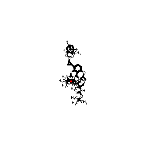 CC(C)(C)OC(=O)N[C@](C)(CN1CC(Oc2ccc(C3CC3B3OC4C[C@@H]5C[C@@H](C5(C)C)[C@]4(C)O3)c(OC(=O)OC(C)(C)C)c2C(=O)OC(C)(C)C)C1)C(=O)NCCN